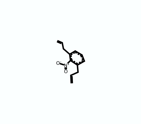 C=CCc1cccc(CC=C)c1[N+](=O)[O-]